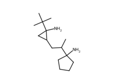 CC(CC1CC1(N)C(C)(C)C)C1(N)CCCC1